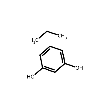 CCC.Oc1cccc(O)c1